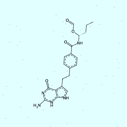 CCC[C@H](NC(=O)c1ccc(CCc2c[nH]c3[nH]c(N)nc(=O)c23)cc1)OC=O